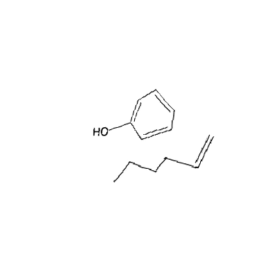 C=CCCCC.Oc1ccccc1